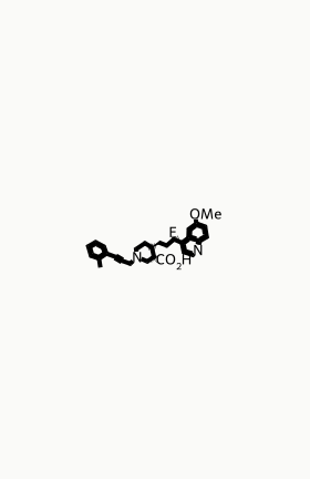 COc1ccc2nccc([C@H](F)CC[C@@H]3CCN(CC#Cc4ccccc4C)C[C@@H]3C(=O)O)c2c1